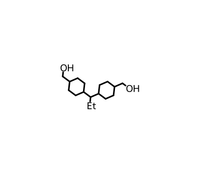 CCC(C1CCC(CO)CC1)C1CCC(CO)CC1